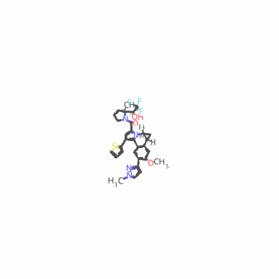 COc1cc2c(cc1-c1ccn(C)n1)-c1c(-c3cccs3)cc(C(=O)N3CCC[C@]3(C)[C@H](O)C(F)(F)F)n1[C@@H]1C[C@H]21